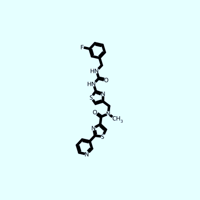 CN(Cc1csc(NC(=O)NCc2cccc(F)c2)n1)C(=O)c1csc(-c2cccnc2)n1